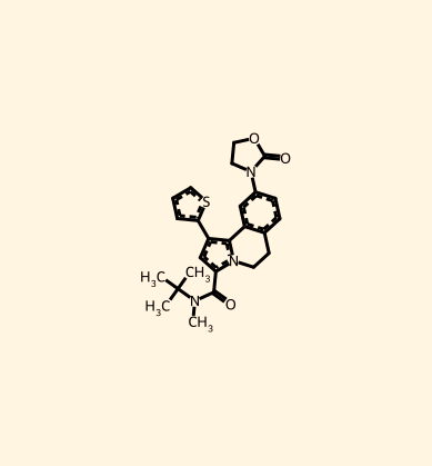 CN(C(=O)c1cc(-c2cccs2)c2n1CCc1ccc(N3CCOC3=O)cc1-2)C(C)(C)C